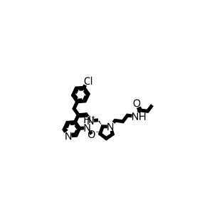 CCC(=O)NCCCN1CCC[C@@H]1CN1C=C(Cc2ccc(Cl)cc2)c2ccncc2[NH+]1[O-]